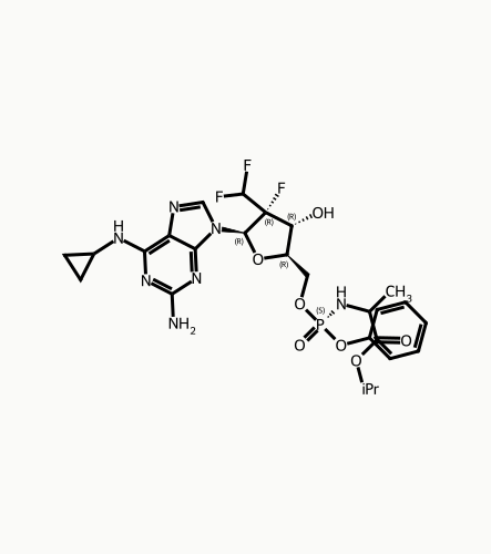 CC(C)OC(=O)C(C)N[P@](=O)(OC[C@H]1O[C@@H](n2cnc3c(NC4CC4)nc(N)nc32)[C@@](F)(C(F)F)[C@@H]1O)Oc1ccccc1